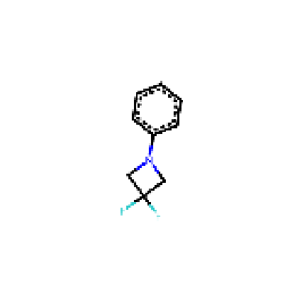 FC1(F)CN(c2cc[c]cc2)C1